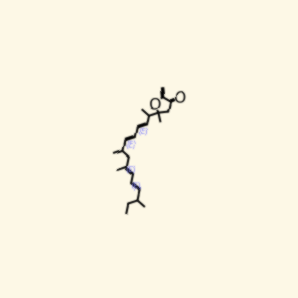 C=C1OC(C)(C(C)/C=C/C=C/C(C)C/C(C)=C/C=C/C(C)CC)CC1=O